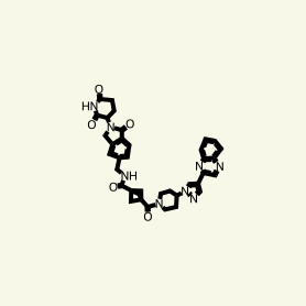 O=C1CCC(N2Cc3cc(CNC(=O)C45CC(C(=O)N6CCC(n7cc(-c8cnc9ccccc9n8)cn7)CC6)(C4)C5)ccc3C2=O)C(=O)N1